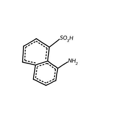 Nc1cccc2cccc(S(=O)(=O)O)c12